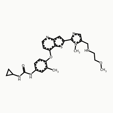 COCCNCc1cnc(-c2cc3nccc(Oc4ccc(NC(=O)NC5CC5)cc4C)c3s2)n1C